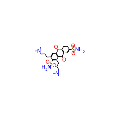 CN(C)CCCc1cc2c(c(CCCN(C)C)c1S(N)(=O)=O)C(=O)c1cc(S(N)(=O)=O)ccc1C2=O